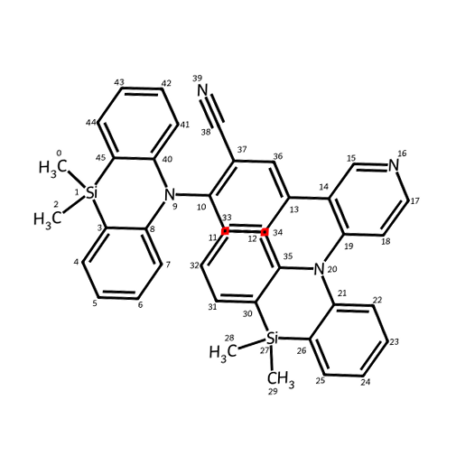 C[Si]1(C)c2ccccc2N(c2ccc(-c3cnccc3N3c4ccccc4[Si](C)(C)c4ccccc43)cc2C#N)c2ccccc21